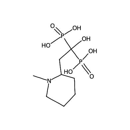 CN1CCCCC1CC(O)(P(=O)(O)O)P(=O)(O)O